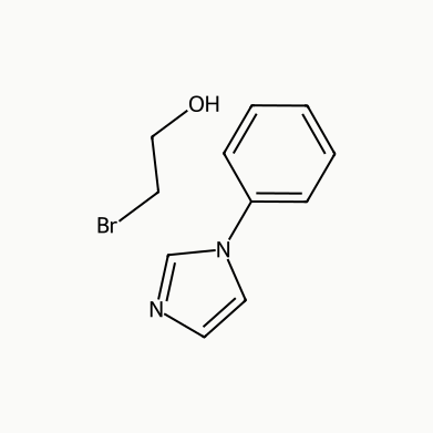 OCCBr.c1ccc(-n2ccnc2)cc1